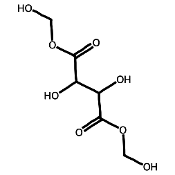 O=C(OCO)C(O)C(O)C(=O)OCO